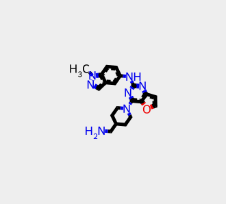 Cn1ncc2cc(Nc3nc(N4CCC(CN)CC4)c4occc4n3)ccc21